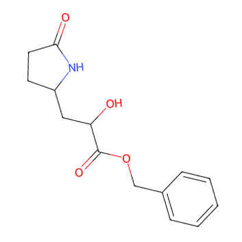 O=C1CCC(CC(O)C(=O)OCc2ccccc2)N1